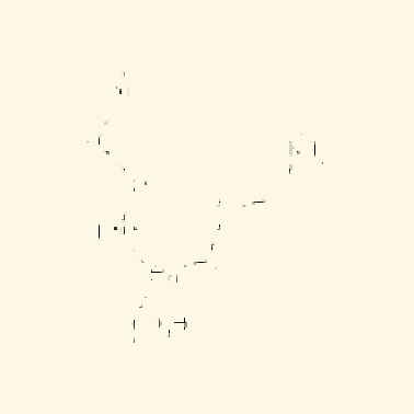 NCCC[C@@H](NCCN)C(=O)O